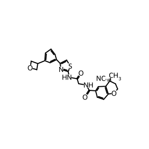 C[C@@]1(C#N)CCOc2ccc(C(=O)NCC(=O)Nc3nc(-c4cccc(C5COC5)c4)cs3)cc21